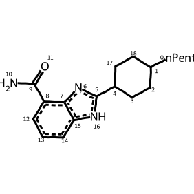 CCCCCC1CCC(c2nc3c(C(N)=O)cccc3[nH]2)CC1